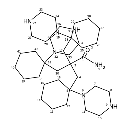 NC(=O)C(CC1(N2CCNCC2)CCCCC1)(CC1(N2CCNCC2)CCCCC1)CC1(N2CCNCC2)CCCCC1